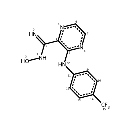 N=C(NO)c1nccnc1Nc1ccc(C(F)(F)F)cc1